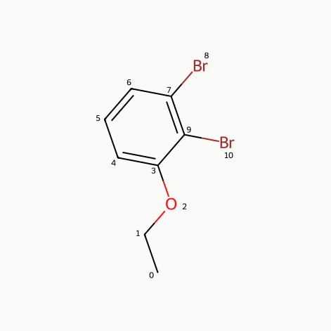 CCOc1cccc(Br)c1Br